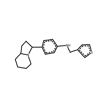 c1cc(CNc2ccc(C3CCC4CCCCN43)cc2)cs1